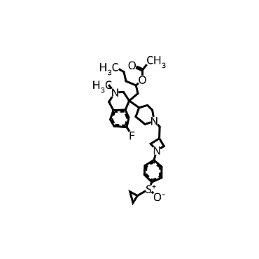 CCCC(CC1(C2CCN(CC3CN(c4ccc([S+]([O-])C5CC5)cc4)C3)CC2)CN(C)Cc2ccc(F)cc21)OC(C)=O